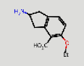 CCOc1ccc2c(c1C(=O)O)CC(N)C2